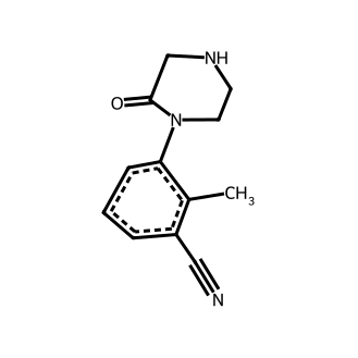 Cc1c(C#N)cccc1N1CCNCC1=O